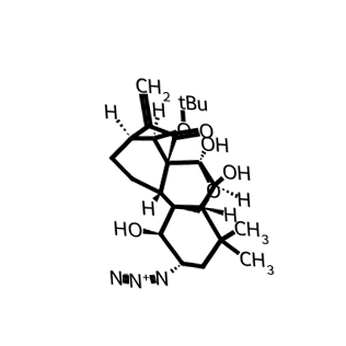 C=C1C(=O)[C@]23[C@H](OC(C)(C)C)[C@H]1CC[C@H]2[C@@]12CO[C@@]3(O)[C@@H](O)[C@@H]1C(C)(C)C[C@H](N=[N+]=[N-])[C@H]2O